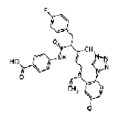 C=C/C(=C\C=C(/C)C(Cc1ccc(F)cc1)C(=O)Nc1ccc(C(=O)O)cc1)c1cc(Cl)ccc1-n1cnnn1